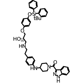 CC(C)(C)[Si](Oc1ccc(OC[C@@H](O)CNCCc2ccc(NC3CCN(C(=O)c4n[nH]c5ccccc45)CC3)cc2)cc1)(c1ccccc1)c1ccccc1